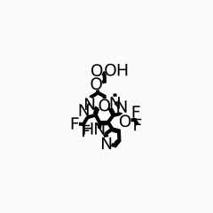 Cn1cc(-c2c(-c3c(C(F)F)nn4c3OCC(OCC(=O)O)C4)[nH]c3ncccc23)c(OC(F)F)n1